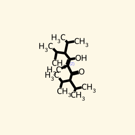 C/C(C(=O)C(C(C)C)C(C)C)=C(/O)C(C(C)C)C(C)C